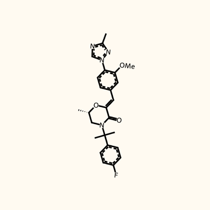 COc1cc(C=C2O[C@@H](C)CN(C(C)(C)c3ccc(F)cc3)C2=O)ccc1-n1cnc(C)n1